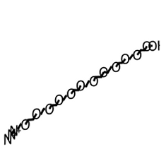 [N-]=[N+]=NCCOCCOCCOCCOCCOCCOCCOCCOCCOCCOCCOCCOO